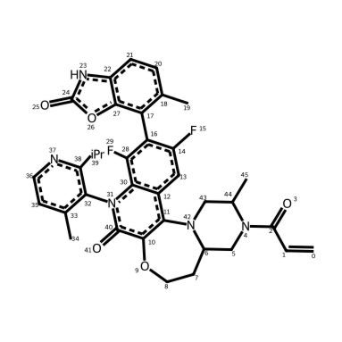 C=CC(=O)N1CC2CCOc3c(c4cc(F)c(-c5c(C)ccc6[nH]c(=O)oc56)c(F)c4n(-c4c(C)ccnc4C(C)C)c3=O)N2CC1C